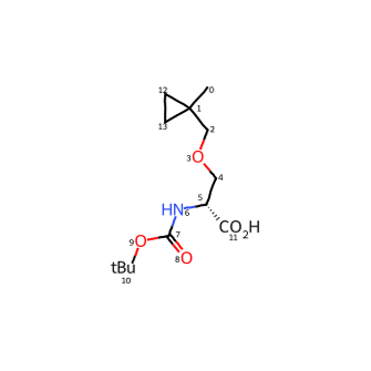 CC1(COC[C@@H](NC(=O)OC(C)(C)C)C(=O)O)CC1